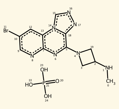 CNC1CN(c2nc3ncc(Br)cc3n3cnnc23)C1.O=P(O)(O)O